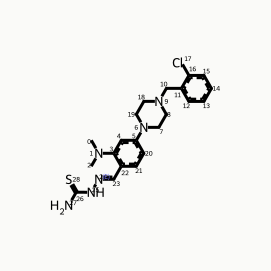 CN(C)c1cc(N2CCN(Cc3ccccc3Cl)CC2)ccc1/C=N/NC(N)=S